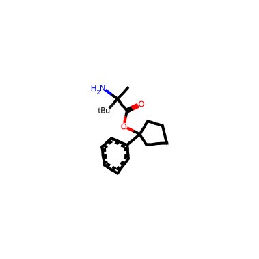 CC(C)(C)C(C)(N)C(=O)OC1(c2ccccc2)CCCC1